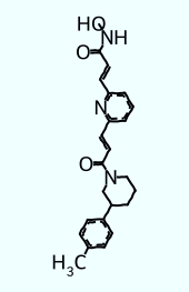 Cc1ccc(C2CCCN(C(=O)C=Cc3cccc(C=CC(=O)NO)n3)C2)cc1